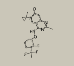 Cc1nc(NOc2cccc(C(C)(F)F)c2F)c2cn(C3(C)CC3)c(=O)cc2n1